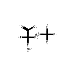 FC(F)(F)[SiH3].O=C([O-])C(F)(F)F.[Na+]